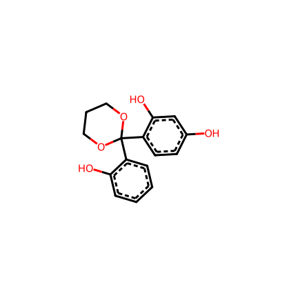 Oc1ccc(C2(c3ccccc3O)OCCCO2)c(O)c1